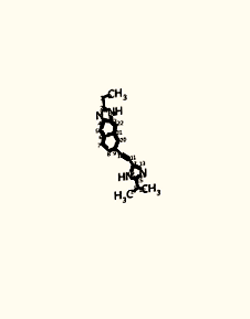 CCc1nc2cc3ccc(C#Cc4cnc(C(C)C)[nH]4)cc3cc2[nH]1